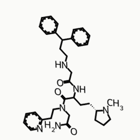 CN1CCC[C@@H]1CCC(NC(=O)CNCCC(c1ccccc1)c1ccccc1)C(=O)N(CCc1ccccn1)CC(N)=O